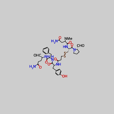 CNC(CC(N)=O)C(=O)N[C@@H](CSSCCC(=O)NC(Cc1ccc(O)cc1)C(=O)NC(Cc1ccccc1)C(=O)NC(C=O)CCC(N)=O)C(=O)N1CCC[C@H]1C=O